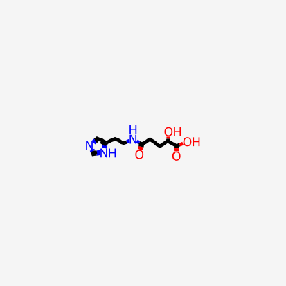 O=C(CCC(O)C(=O)O)NCCc1cnc[nH]1